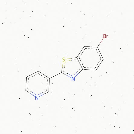 Brc1ccc2nc(-c3cccnc3)sc2c1